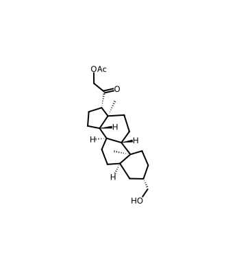 CC(=O)OCC(=O)[C@H]1CC[C@H]2[C@@H]3CC[C@@H]4C[C@@H](CO)CC[C@]4(C)[C@H]3CC[C@]12C